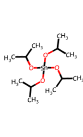 CC(C)[O][Sn]([O]C(C)C)([O]C(C)C)[O]C(C)C